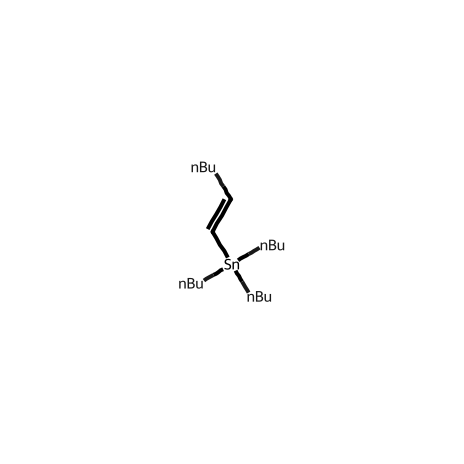 CCCC/C=[CH]/[Sn]([CH2]CCC)([CH2]CCC)[CH2]CCC